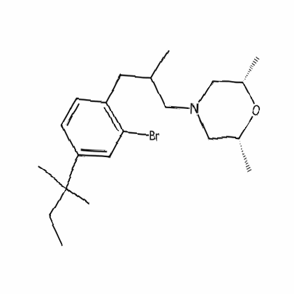 CCC(C)(C)c1ccc(CC(C)CN2C[C@@H](C)O[C@@H](C)C2)c(Br)c1